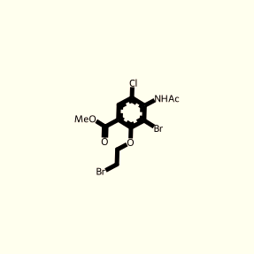 COC(=O)c1cc(Cl)c(NC(C)=O)c(Br)c1OCCBr